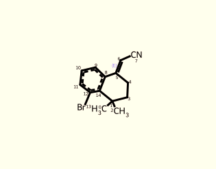 CC1(C)CC/C(=C\C#N)c2cccc(Br)c21